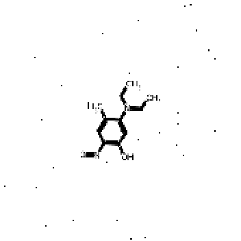 CCN(CC)c1cc(O)c(N=O)cc1C